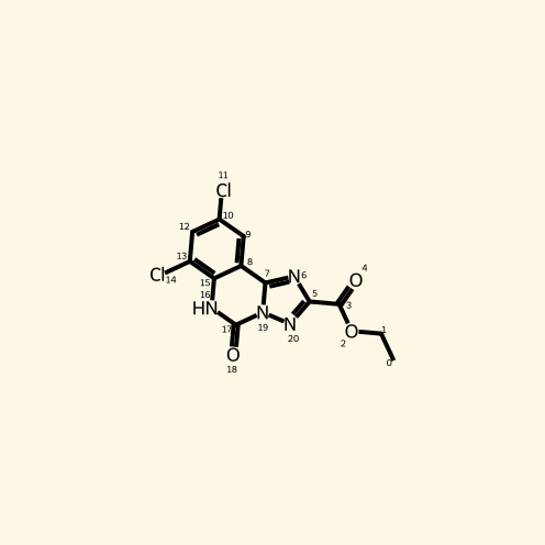 CCOC(=O)c1nc2c3cc(Cl)cc(Cl)c3[nH]c(=O)n2n1